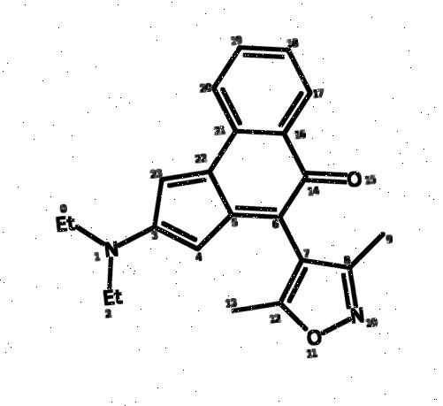 CCN(CC)C1=CC2=C(c3c(C)noc3C)C(=O)c3ccccc3C2=C1